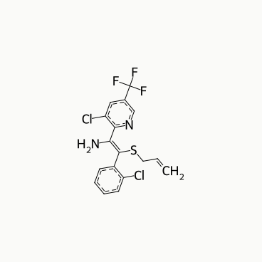 C=CCS/C(=C(/N)c1ncc(C(F)(F)F)cc1Cl)c1ccccc1Cl